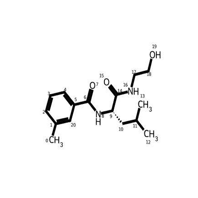 Cc1cccc(C(=O)N[C@@H](CC(C)C)C(=O)NCCO)c1